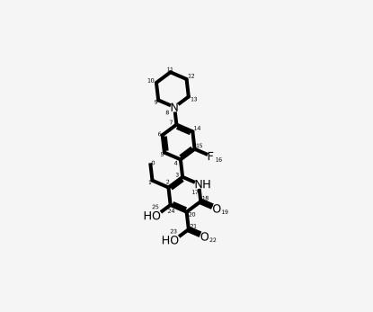 CCc1c(-c2ccc(N3CCCCC3)cc2F)[nH]c(=O)c(C(=O)O)c1O